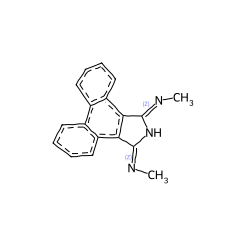 C/N=C1\N/C(=N\C)c2c1c1ccccc1c1ccccc21